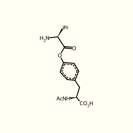 CC(=O)N[C@@H](Cc1ccc(OC(=O)[C@@H](N)C(C)C)cc1)C(=O)O